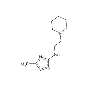 Cc1csc(NCCN2CCCCC2)n1